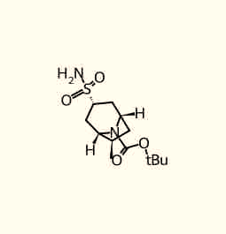 C[C@@H]1C[C@H]2C[C@@H](S(N)(=O)=O)C[C@@H]1N2C(=O)OC(C)(C)C